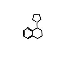 c1cnc2c(c1)CCCC2N1CCCC1